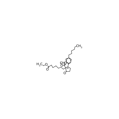 CCCCCCc1ccc([C@H]2CCC(=O)C2(CCCCCCC(=O)OCC)C(=O)OC)cc1